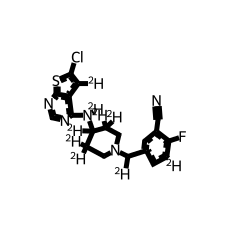 [2H]c1cc(C([2H])N2CC([2H])([2H])C([2H])(N([2H])c3ncnc4sc(Cl)c([2H])c34)C([2H])([2H])C2)cc(C#N)c1F